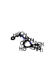 C/C(=C\C=C\C(C)(O)CCc1ccccc1)[C@H]1OC(=O)C[C@H](O)CC[C@@](C)(O)[C@@H](CC(=O)O)/C=C/[C@@H]1C